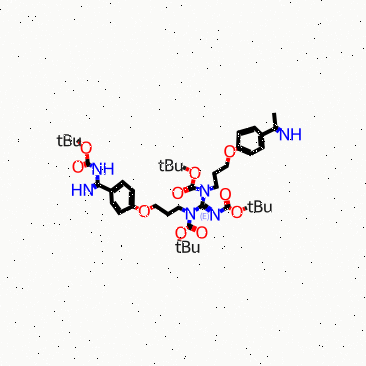 CC(=N)c1ccc(OCCCN(C(=O)OC(C)(C)C)/C(=N\C(=O)OC(C)(C)C)N(CCCOc2ccc(C(=N)NC(=O)OC(C)(C)C)cc2)C(=O)OC(C)(C)C)cc1